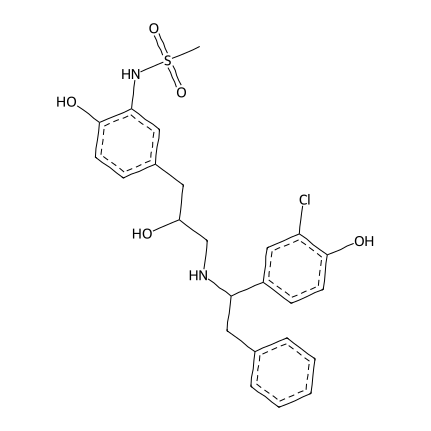 CS(=O)(=O)Nc1cc(CC(O)CNC(Cc2ccccc2)c2ccc(O)c(Cl)c2)ccc1O